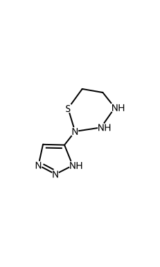 c1nn[nH]c1N1NNCCS1